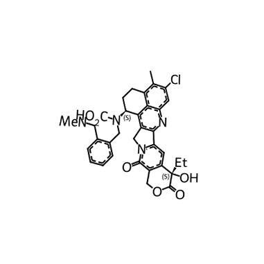 CC[C@@]1(O)C(=O)OCc2c1cc1n(c2=O)Cc2c-1nc1cc(Cl)c(C)c3c1c2[C@@H](N(Cc1ccccc1CNC)C(=O)O)CC3